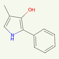 Cc1c[nH]c(-c2ccccc2)c1O